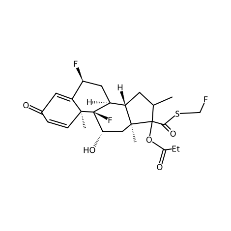 CCC(=O)OC1(C(=O)SCF)C(C)C[C@H]2[C@@H]3C[C@H](F)C4=CC(=O)C=C[C@]4(C)[C@@]3(F)[C@@H](O)C[C@@]21C